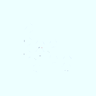 c1ccc(-c2ccc(-c3cccc4c3c3ccc(N(c5cccc(-c6cccc7ccccc67)c5)c5ccccc5-c5ccccc5)cc3n4-c3ccccc3)cc2)cc1